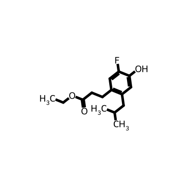 CCOC(=O)CCc1cc(F)c(O)cc1CC(C)C